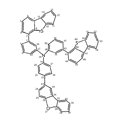 c1cc(-c2cccc3c2sc2ccccc23)cc(N(c2ccc(-c3ccc4oc5ccccc5c4c3)cc2)c2cccc(-c3cccc4c3sc3ccccc34)c2)c1